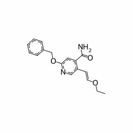 CCO/C=C/c1cnc(OCc2ccccc2)cc1C(N)=O